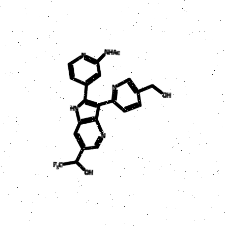 CC(=O)Nc1cc(-c2[nH]c3cc(C(O)C(F)(F)F)cnc3c2-c2ccc(CO)cn2)ccn1